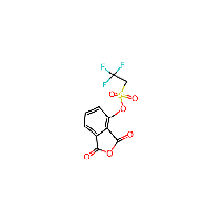 O=C1OC(=O)c2c(OS(=O)(=O)CC(F)(F)F)cccc21